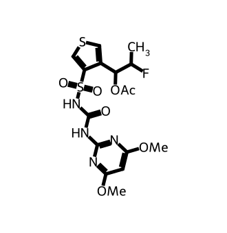 COc1cc(OC)nc(NC(=O)NS(=O)(=O)c2cscc2C(OC(C)=O)C(C)F)n1